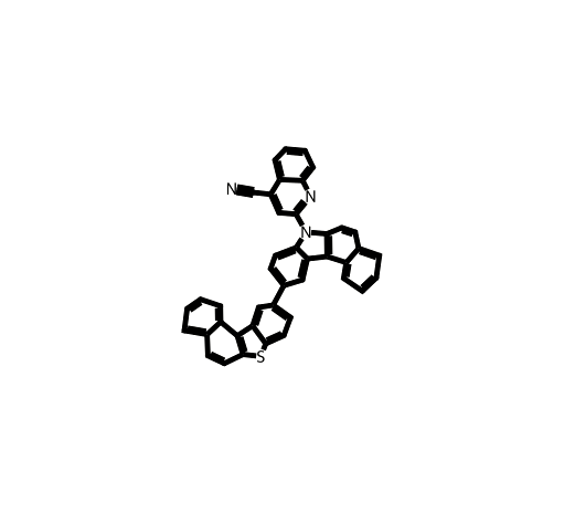 N#Cc1cc(-n2c3ccc(-c4ccc5sc6ccc7ccccc7c6c5c4)cc3c3c4ccccc4ccc32)nc2ccccc12